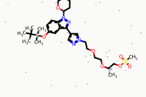 C[C@@H](COS(C)(=O)=O)OCCOCCn1cc(-c2nn(C3CCCCO3)c3ccc(O[Si](C)(C)C(C)(C)C)cc23)cn1